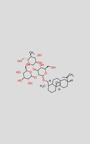 C=C1C[C@@]23CC[C@@H]4[C@](C)(CO[C@@H]5O[C@H](CO)[C@@H](O)[C@H](O[C@@H]6O[C@H](CO)[C@@H](C)[C@H](O)[C@H]6O)[C@H]5O[C@@H]5O[C@H](CO)[C@@H](O)[C@H](O)[C@H]5O)CCC[C@@]4(C)[C@@H]2CC[C@@H]1C3